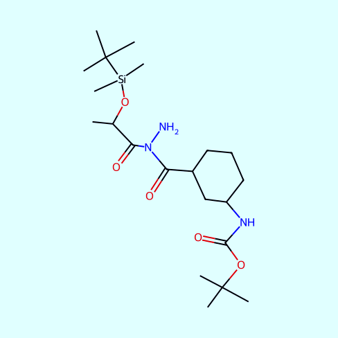 CC(O[Si](C)(C)C(C)(C)C)C(=O)N(N)C(=O)C1CCCC(NC(=O)OC(C)(C)C)C1